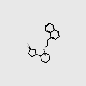 O=C1CCN(C2CCCC[C@H]2OCCc2cccc3ccccc23)C1